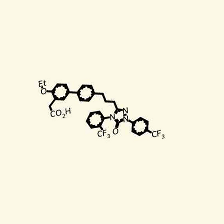 CCOc1ccc(-c2ccc(CCCc3nn(-c4ccc(C(F)(F)F)cc4)c(=O)n3-c3ccccc3C(F)(F)F)cc2)cc1CC(=O)O